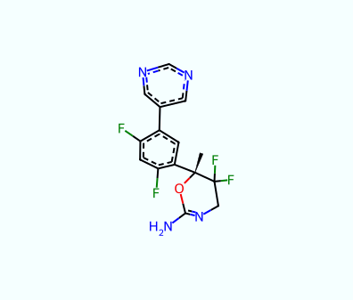 C[C@]1(c2cc(-c3cncnc3)c(F)cc2F)OC(N)=NCC1(F)F